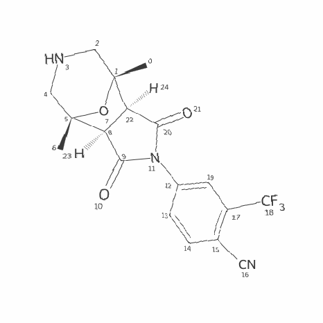 C[C@]12CNC[C@](C)(O1)[C@@H]1C(=O)N(c3ccc(C#N)c(C(F)(F)F)c3)C(=O)[C@@H]12